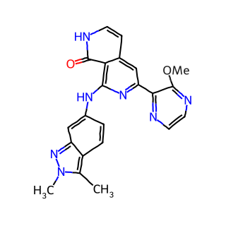 COc1nccnc1-c1cc2cc[nH]c(=O)c2c(Nc2ccc3c(C)n(C)nc3c2)n1